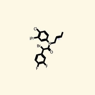 C/C=C/CN(C(=O)C(Br)c1ccc(F)c(F)c1)c1ccc(Cl)c(C(C)C)c1